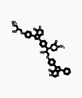 COCC(O)COc1ccc(-c2cn(-c3ccc(C(C(O)COc4ccc(-c5cn(-c6ccccc6)c6nc[nH]c(=O)c56)cc4)N4CCN(C)C(=O)C4)cc3)c3nc[nH]c(=O)c23)cc1